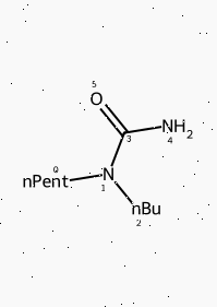 CCCCCN(CCCC)C(N)=O